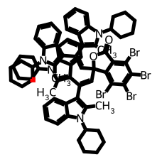 Cc1c(C(=CC2(C=C(c3c(C)n(C4CCCCC4)c4ccccc34)c3c(C)n(C4CCCCC4)c4ccccc34)OC(=O)c3c(Br)c(Br)c(Br)c(Br)c32)c2c(C)n(C3CCCCC3)c3ccccc23)c2ccccc2n1C1CCCCC1